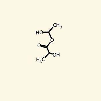 CC(O)OC(=O)C(C)O